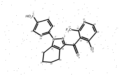 O=C(O)c1ccc(-n2nc(C(=O)c3c(Cl)ccnc3C(F)(F)F)c3c2CCCC3)nc1